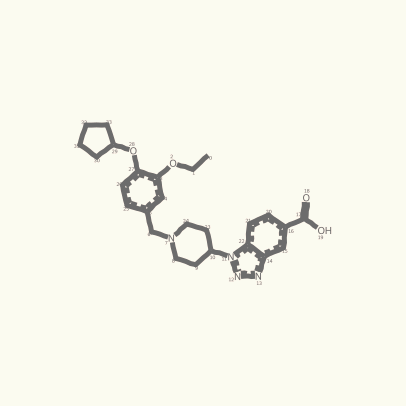 CCOc1cc(CN2CCC(n3nnc4cc(C(=O)O)ccc43)CC2)ccc1OC1CCCC1